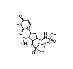 COC1C(OP(C)(=O)S)C(CNP(=O)(O)O)CC1n1ccc(=O)[nH]c1=O